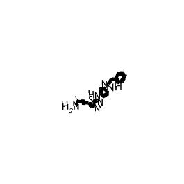 C[C@@H](N)C#Cc1cc2ncnc(Nc3ccc4[nH]c(Cc5ccccc5)nc4c3)c2s1